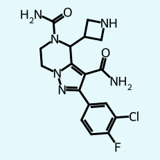 NC(=O)c1c(-c2ccc(F)c(Cl)c2)nn2c1C(C1CNC1)N(C(N)=O)CC2